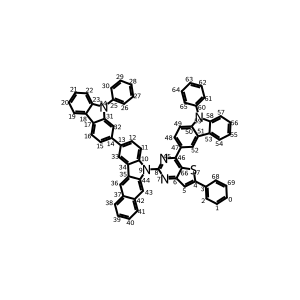 c1ccc(-c2cc3nc(-n4c5ccc(-c6ccc7c8ccccc8n(-c8ccccc8)c7c6)cc5c5cc6ccccc6cc54)nc(-c4ccc5c(c4)c4ccccc4n5-c4ccccc4)c3s2)cc1